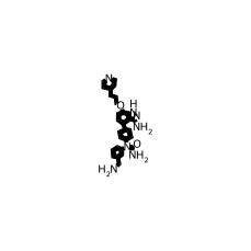 NCc1cccc(N(C(N)=O)c2ccc(-c3ccc(OCCCc4ccncc4)c4[nH]nc(N)c34)cc2)c1